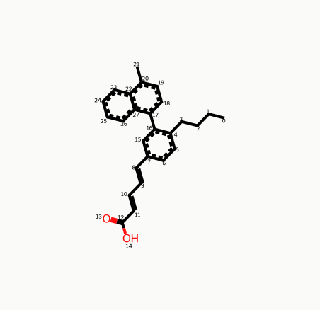 CCCCc1ccc(/C=C/C=C/C(=O)O)cc1-c1ccc(C)c2ccccc12